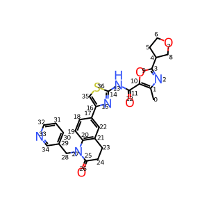 Cc1nc(C2CCOC2)oc1C(=O)Nc1nc(-c2ccc3c(c2)CCC(=O)N3Cc2cccnc2)cs1